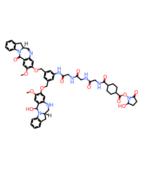 COc1cc2c(cc1OCc1cc(COc3cc4c(cc3OC)C(O)N3c5ccccc5C[C@H]3CN4)cc(NC(=O)CNC(=O)CNC(=O)CNC(=O)C3CCC(C(=O)ON4C(=O)CCC4O)CC3)c1)N=C[C@@H]1Cc3ccccc3N1C2=O